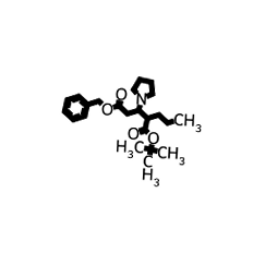 CCCC(C(=O)OC(C)(C)C)C(CC(=O)OCc1ccccc1)N1CCCC1